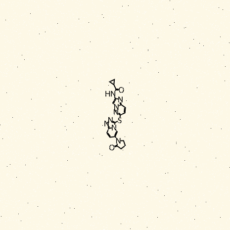 O=C(Nc1cn2nc(Sc3nnc4ccc(N5CCCC5=O)cn34)ccc2n1)C1CC1